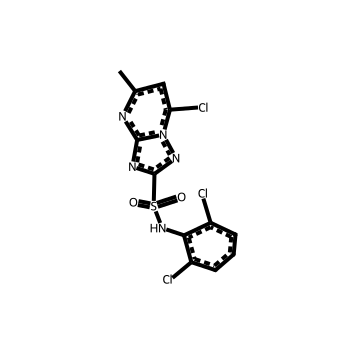 Cc1cc(Cl)n2nc(S(=O)(=O)Nc3c(Cl)cccc3Cl)nc2n1